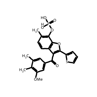 COc1cc(C(=O)c2c(-c3cccs3)oc3c(OP(=O)(O)O)c(C)ccc23)cc(C)c1C